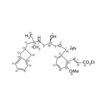 CCC[C@@H](OC[C@H](O)CNC(C)(C)CC1Cc2ccccc2C1)c1cccc(OC)c1/C=C/C(=O)OCC